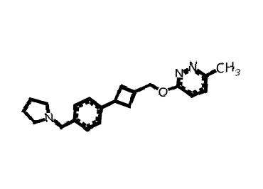 Cc1ccc(OCC2CC(c3ccc(CN4CCCC4)cc3)C2)nn1